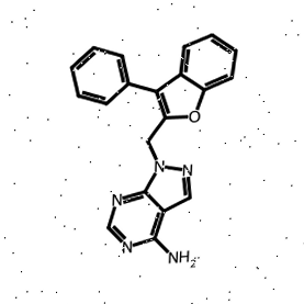 Nc1ncnc2c1cnn2Cc1oc2ccccc2c1-c1ccccc1